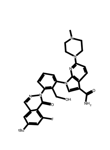 CN1CCN(c2ccc3c(C(N)=O)cn(-c4cccc(-n5ncc6cc(C(C)(C)C)cc(F)c6c5=O)c4CO)c3n2)CC1